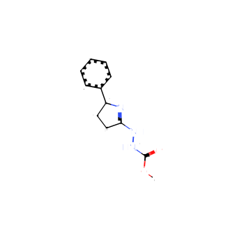 COC(=O)NNC1=NC(c2ccccc2)CC1